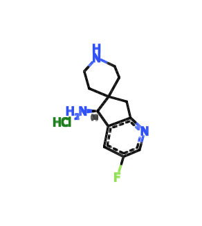 Cl.N[C@@H]1c2cc(F)cnc2CC12CCNCC2